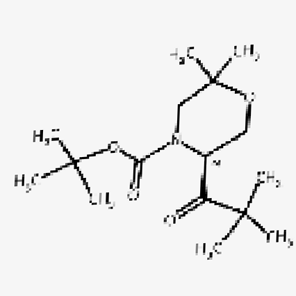 CC(C)(C)OC(=O)N1CC(C)(C)OC[C@H]1C(=O)C(C)(C)C